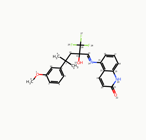 COc1cccc(C(C)(C)CC(O)(C=Nc2cccc3[nH]c(=O)ccc23)C(F)(F)F)c1